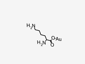 NCCCC[C@H](N)C(=O)[O][Au]